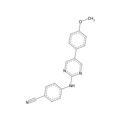 COc1ccc(-c2cnc(Nc3ccc(C#N)cc3)nc2)cc1